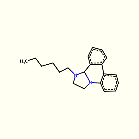 CCCCCCN1CCN2c3ccccc3-c3ccccc3C12